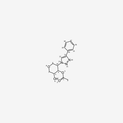 CC(=O)OC1C(O)COCC1n1cc(-c2ccccc2)nn1